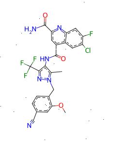 COc1cc(C#N)ccc1Cn1nc(C(F)(F)F)c(NC(=O)c2cc(C(N)=O)nc3cc(F)c(Cl)cc23)c1C